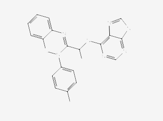 CC(Nc1ncnc2[nH]cnc12)C1=Nc2ccccc2SN1c1ccc(F)cc1